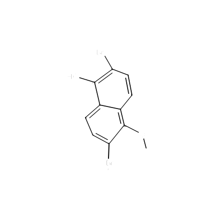 COc1c(Br)ccc2c(O)c(Br)ccc12